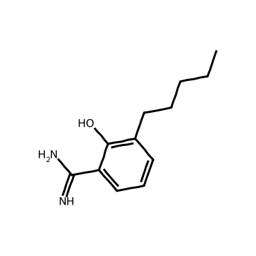 CCCCCc1cccc(C(=N)N)c1O